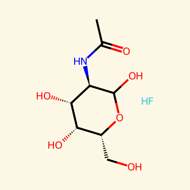 CC(=O)N[C@H]1C(O)O[C@H](CO)[C@H](O)[C@@H]1O.F